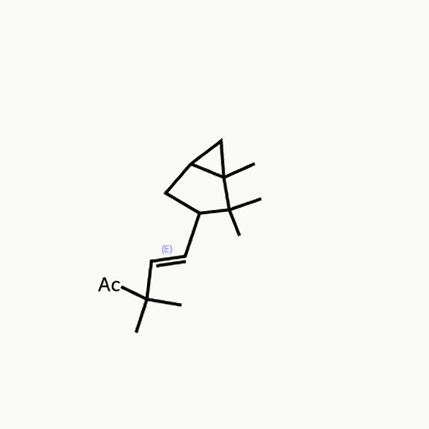 CC(=O)C(C)(C)/C=C/C1CC2CC2(C)C1(C)C